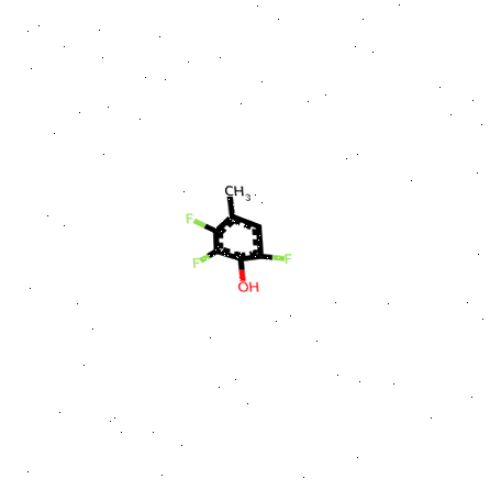 Cc1cc(F)c(O)c(F)c1F